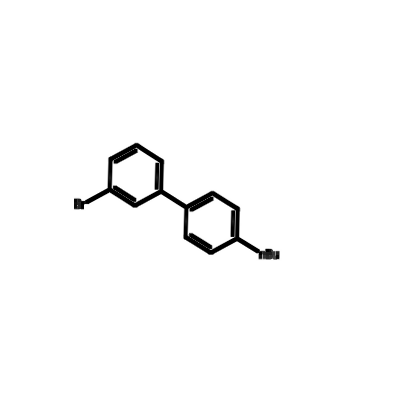 [CH2]CCCc1ccc(-c2cccc(Br)c2)cc1